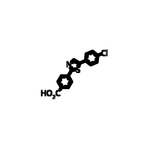 O=C(O)c1ccc(-c2ncc(-c3ccc(Cl)cc3)s2)cc1